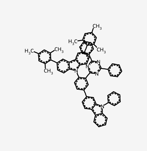 Cc1cc(C)c(-c2ccc3c(c2)c2cc(-c4c(C)cc(C)cc4C)ccc2n3-c2ccc(-c3ccc4c5ccccc5n(-c5ccccc5)c4c3)cc2-c2nc(-c3ccccc3)nc(-c3ccccc3)n2)c(C)c1